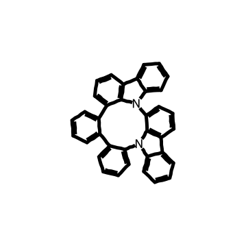 c1ccc2c(c1)c1ccccc1n1c3ccccc3c3cccc(c31)n1c3ccccc3c3cccc2c31